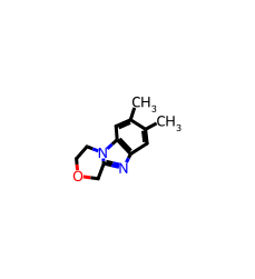 Cc1cc2nc3n(c2cc1C)CCOC3